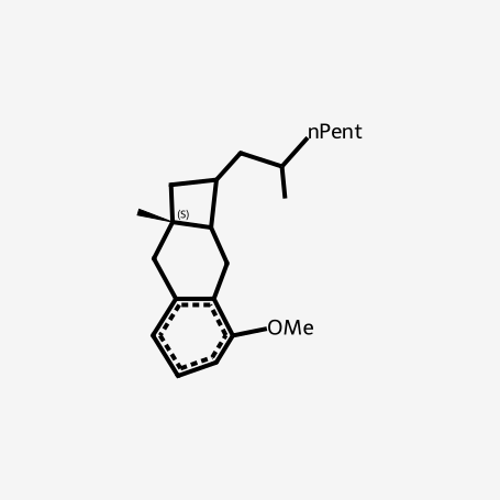 CCCCCC(C)CC1C[C@@]2(C)Cc3cccc(OC)c3CC12